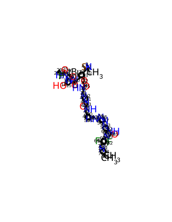 Cc1ncsc1-c1ccc(CNC(=O)[C@@H]2C[C@@H](O)CN2C(=O)[C@@H](NC(=O)C2(F)CC2)C(C)(C)C)c(OCC(=O)NCCN2CCN(CC(=O)NCc3cccc(CNc4cc(N5CCC6(CC5)CN(c5cc(F)c(CN7CCC(C)(C)CC7)cc5F)CC(=O)N6)ncn4)c3)CC2)c1